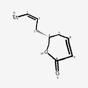 CC/C=C\C[C@@H]1CC=CC(=O)O1